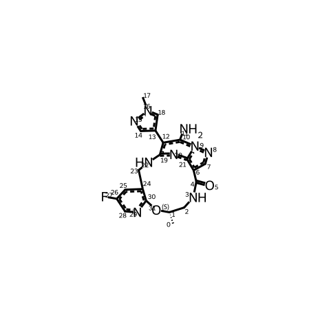 C[C@H]1CNC(=O)c2cnn3c(N)c(-c4cnn(C)c4)c(nc23)NCc2cc(F)cnc2O1